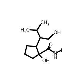 CC(C)C(CO)C1CCCC1(O)C(=O)NI